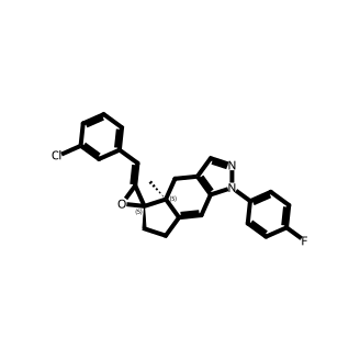 C[C@]12Cc3cnn(-c4ccc(F)cc4)c3C=C1CC[C@]21OC1=Cc1cccc(Cl)c1